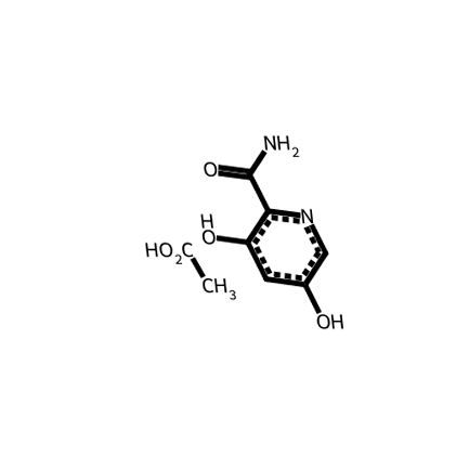 CC(=O)O.NC(=O)c1ncc(O)cc1O